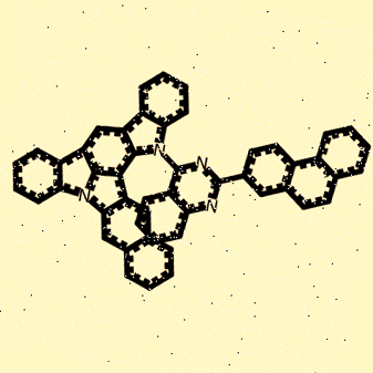 c1ccc2cc3c(cc2c1)c1c2c(cc4c5ccccc5n3c41)c1ccccc1n2-c1nc(-c2ccc3c(ccc4ccccc43)c2)nc2ccccc12